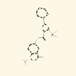 CC(C)n1nc(N)c2cc(NC(=O)c3nc(-c4ccccc4)oc3C(F)(F)F)ccc21